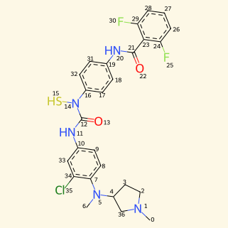 CN1CCC(N(C)c2ccc(NC(=O)N(S)c3ccc(NC(=O)c4c(F)cccc4F)cc3)cc2Cl)C1